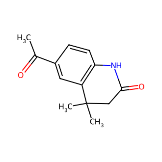 CC(=O)c1ccc2c(c1)C(C)(C)CC(=O)N2